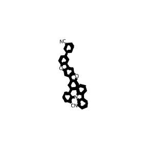 N#Cc1c#ccc(-c2ccc3oc4cc5c(cc4c3c2)oc2ccc(-c3cccc(C#N)c3-n3c4ccccc4c4ccccc43)cc25)c1